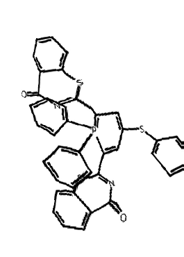 O=c1nc(C2=CC(Sc3ccccc3)=CC(c3nc(=O)c4ccccc4s3)=P2(c2ccccc2)c2ccccc2)sc2ccccc12